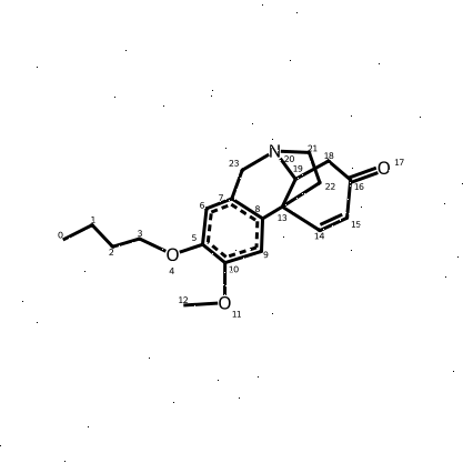 CCCCOc1cc2c(cc1OC)C13C=CC(=O)CC1N(CC3)C2